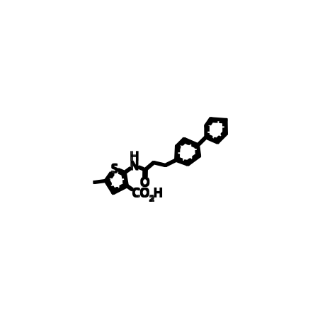 Cc1cc(C(=O)O)c(NC(=O)CCc2ccc(-c3ccccc3)cc2)s1